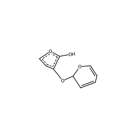 Oc1occc1OC1C=CC=CO1